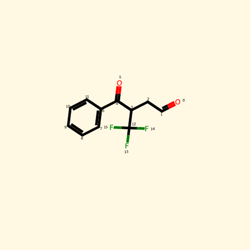 O=CCC(C(=O)c1ccccc1)C(F)(F)F